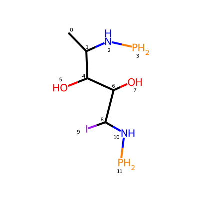 CC(NP)C(O)C(O)C(I)NP